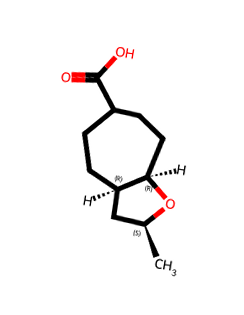 C[C@H]1C[C@H]2CCC(C(=O)O)CC[C@H]2O1